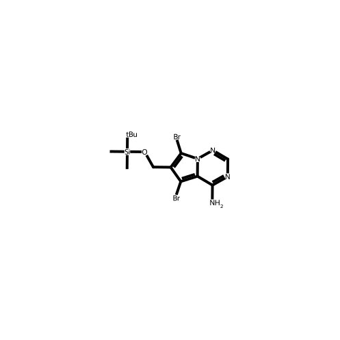 CC(C)(C)[Si](C)(C)OCc1c(Br)c2c(N)ncnn2c1Br